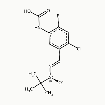 CC(C)(C)[S@+]([O-])N=Cc1cc(NC(=O)O)c(F)cc1Cl